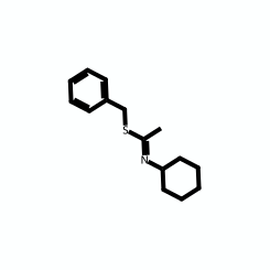 C/C(=N\C1CCCCC1)SCc1ccccc1